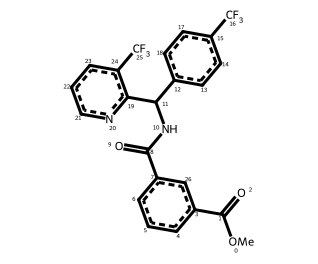 COC(=O)c1cccc(C(=O)NC(c2ccc(C(F)(F)F)cc2)c2ncccc2C(F)(F)F)c1